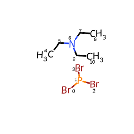 BrP(Br)Br.CCN(CC)CC